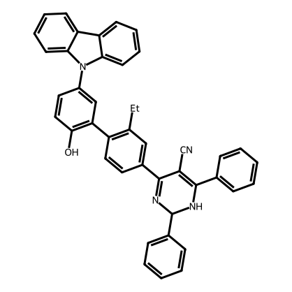 CCc1cc(C2=NC(c3ccccc3)NC(c3ccccc3)=C2C#N)ccc1-c1cc(-n2c3ccccc3c3ccccc32)ccc1O